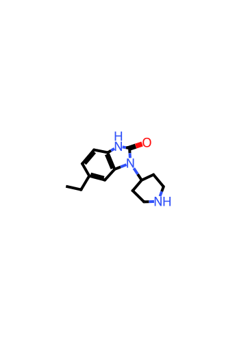 CCc1ccc2[nH]c(=O)n(C3CCNCC3)c2c1